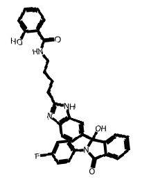 O=C(NCCCCc1nc2ccc(C3(O)c4ccccc4C(=O)N3c3ccc(F)cc3)cc2[nH]1)c1ccccc1O